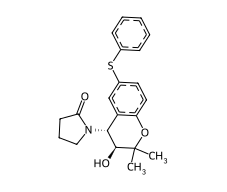 CC1(C)Oc2ccc(Sc3ccccc3)cc2[C@@H](N2CCCC2=O)[C@@H]1O